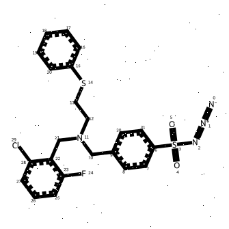 [N-]=[N+]=NS(=O)(=O)c1ccc(CN(CCSc2ccccc2)Cc2c(F)cccc2Cl)cc1